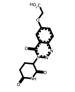 O=C(O)COc1ccc2nnn(C3CCC(=O)NC3=O)c(=O)c2c1